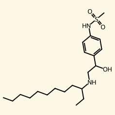 CCCCCCCCCC(CC)NCC(O)c1ccc(NS(C)(=O)=O)cc1